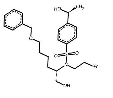 CC(C)CCN([C@H](CO)CCCCOCc1ccccc1)S(=O)(=O)c1ccc([C@H](C)O)cc1